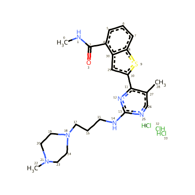 CNC(=O)c1cccc2sc(-c3nc(NCCCN4CCN(C)CC4)ncc3C)cc12.Cl.Cl.Cl